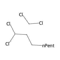 CCCCCCCC(Cl)Cl.ClCCl